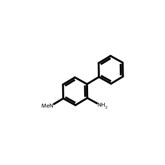 CNc1ccc(-c2ccccc2)c(N)c1